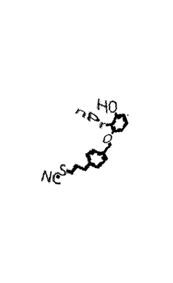 CCCc1c(O)[c]ccc1OCc1ccc(CCCSC#N)cc1